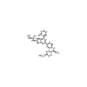 CCNC(=O)Nc1nc2cc(-c3ccc(CN(C)C4CCN(C(=O)O)CC4)nc3)cc(-c3ncccc3F)c2[nH]1